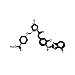 COC(=O)[C@H]1CC[C@H](OC[C@@H]2C[C@H](F)CN2C(=O)Cc2ccc(Nc3nc4c(Cl)cccc4s3)c(Cl)c2)CC1